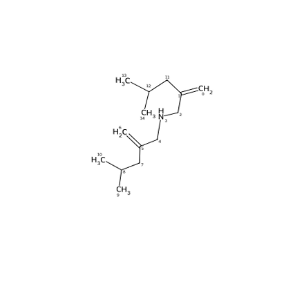 C=C(CNCC(=C)CC(C)C)CC(C)C